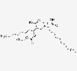 CCCCCCCCC(C(=O)O)C(C)CC(C(=O)O)C(CCCCCCC)OC(=O)OCCl